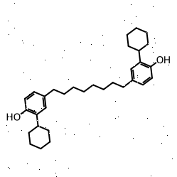 Oc1ccc(CCCCCCCCc2ccc(O)c(C3CCCCC3)c2)cc1C1CCCCC1